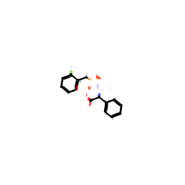 O=C(O)C(NP(=O)(O)Cc1ccccc1F)c1ccccc1